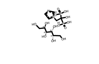 O=P(O)(O)C(O)(Cn1ccnc1)P(=O)(O)O.OC[C@@H](O)[C@@H](O)[C@H](O)[C@@H](O)CO